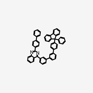 c1ccc(-c2ccc(-c3nc(-c4cccc(-c5cccc(-c6ccc(C7(c8ccccc8)c8ccccc8-c8ccccc87)cc6)c5)c4)c4ccccc4n3)cc2)cc1